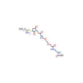 CCCC(=O)NCCNC(=O)CCOCCOCCNC(=O)CCN1C(=O)CC(SCC(N)C(=O)O)C1=O